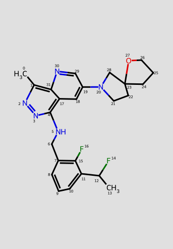 Cc1nnc(NCc2cccc(C(C)F)c2F)c2cc(N3CCC4(CCCO4)C3)cnc12